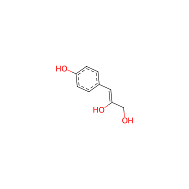 OCC(O)=Cc1ccc(O)cc1